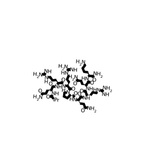 CC(C)C(=O)N[C@@H](CCC(N)=O)C(=O)N[C@@H](CCCNC(=N)N)C(=O)N[C@@H](CCCNC(=N)N)C(=O)N1CCC[C@H]1C(=O)N[C@@H](CCC(N)=O)C(=O)N[C@@H](CCCNC(=N)N)C(=O)N[C@@H](CCC(N)=O)C(=O)N[C@@H](CCCCN)C(N)=O